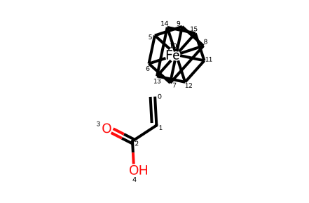 C=CC(=O)O.[CH]12[CH]3[CH]4[CH]5[CH]1[Fe]23451678[CH]2[CH]1[CH]6[CH]7[CH]28